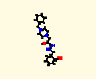 O=C(CN1CCN(Cc2ccccc2)CC1)NNCc1ccccc1O